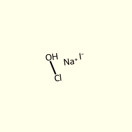 OCl.[I-].[Na+]